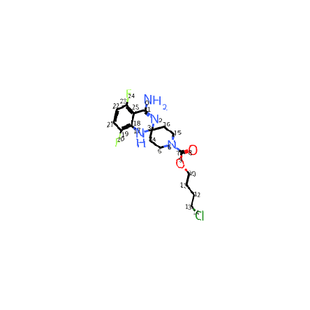 NC1=NC2(CCN(C(=O)OCCCCCl)CC2)Nc2c(F)ccc(F)c21